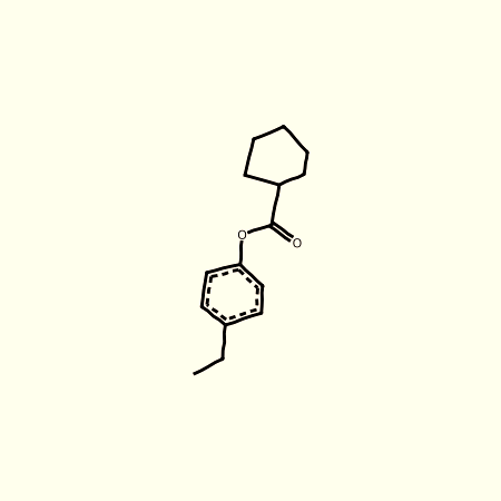 CCc1ccc(OC(=O)C2CCCCC2)cc1